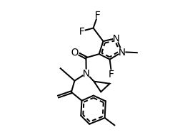 C=C(c1ccc(C)cc1)C(C)N(C(=O)c1c(C(F)F)nn(C)c1F)C1CC1